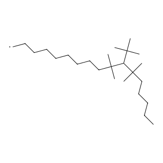 [CH2]CCCCCCCCC(C)(C)C(C(C)(C)C)C(C)(C)CCCCC